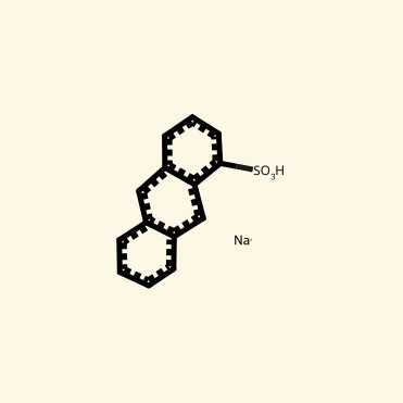 O=S(=O)(O)c1cccc2cc3ccccc3cc12.[Na]